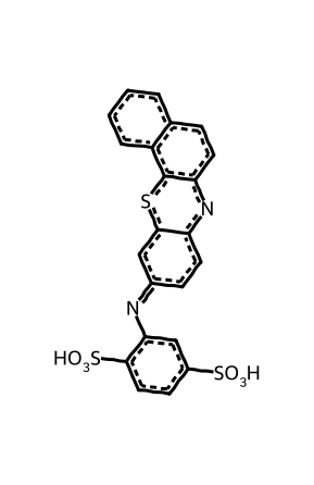 O=S(=O)(O)c1ccc(S(=O)(=O)O)c(/N=c2\ccc3nc4ccc5ccccc5c4sc-3c2)c1